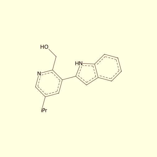 CC(C)c1cnc(CO)c(-c2cc3ccccc3[nH]2)c1